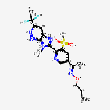 CCS(=O)(=O)c1cc(/C(=N/OCCSC)SC)cnc1-c1nc2cc(C(F)(F)C(F)(F)F)nnc2n1C